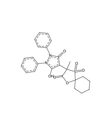 CC1(c2c(O)n(-c3ccccc3)n(-c3ccccc3)c2=O)C(=O)OC2(CCCCC2)S1(=O)=O